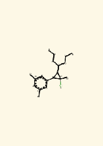 CCCC(CCC)C1C(c2cc(C)cc(C)c2)C1(C)Cl